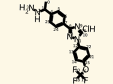 CC(NN)c1ccc(-c2ncn(-c3ccc(OC(F)(F)F)cc3)n2)cc1.Cl